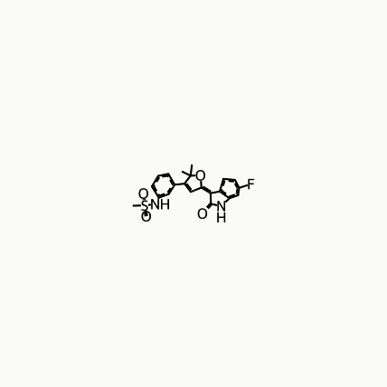 CC1(C)O/C(=C2/C(=O)Nc3cc(F)ccc32)C=C1c1cccc(NS(C)(=O)=O)c1